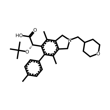 Cc1ccc(-c2c(C)c3c(c(C)c2[C@H](OC(C)(C)C)C(=O)O)CN(CC2CCOCC2)C3)cc1